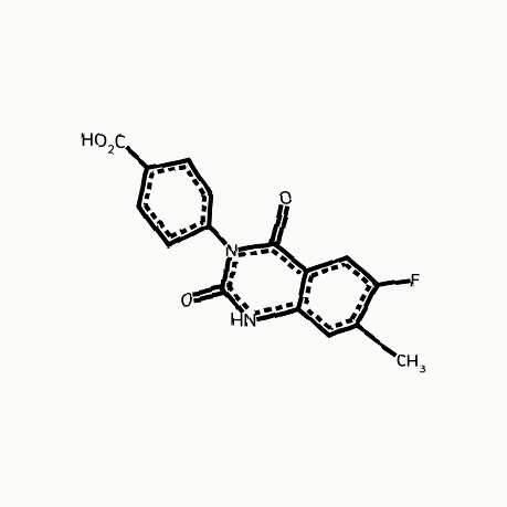 Cc1cc2[nH]c(=O)n(-c3ccc(C(=O)O)cc3)c(=O)c2cc1F